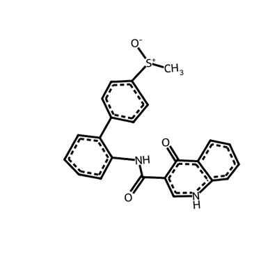 C[S+]([O-])c1ccc(-c2ccccc2NC(=O)c2c[nH]c3ccccc3c2=O)cc1